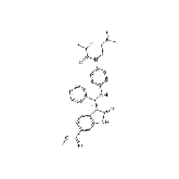 COC(=O)c1ccc2c(c1)NC(=O)/C2=C(\Nc1ccc(N(CCN(C)C)C(=O)C(C)C)cc1)c1ccccc1